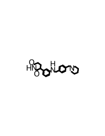 O=C1CCC(c2cccc(NCc3ccc(CN4CCCCC4)cc3)c2)C(=O)N1